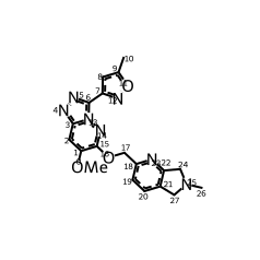 COc1cc2nnc(-c3cc(C)on3)n2nc1OCc1ccc2c(n1)CN(C)C2